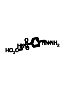 NNCc1ccc(S(=O)(=O)NCC(=O)O)cc1